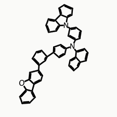 c1cc(-c2ccc(N(c3cccc(-n4c5ccccc5c5ccccc54)c3)c3cccc4ccccc34)cc2)cc(-c2ccc3c(c2)oc2ccccc23)c1